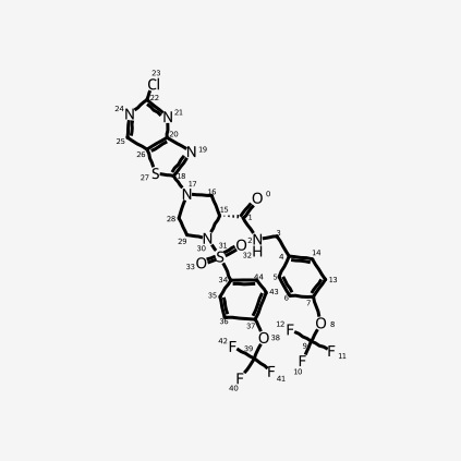 O=C(NCc1ccc(OC(F)(F)F)cc1)[C@H]1CN(c2nc3nc(Cl)ncc3s2)CCN1S(=O)(=O)c1ccc(OC(F)(F)F)cc1